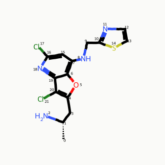 C[C@H](N)Cc1oc2c(NCc3nccs3)cc(Cl)nc2c1Cl